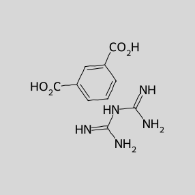 N=C(N)NC(=N)N.O=C(O)c1cccc(C(=O)O)c1